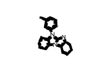 Cc1cccc(-n2c3ccccc3n3c4c(nc23)CCC=C4)c1